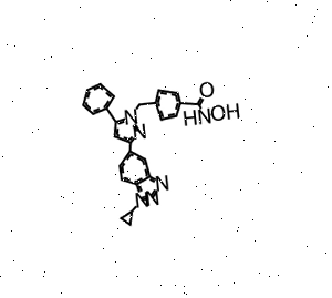 O=C(NO)c1ccc(Cn2nc(-c3ccc4c(c3)nnn4C3CC3)cc2-c2ccccc2)cc1